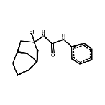 CCC1(NC(=O)Nc2ccccc2)CC2CCCC(C2)C1